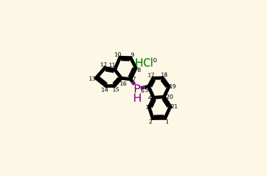 Cl.c1ccc2c(Pc3cccc4ccccc34)cccc2c1